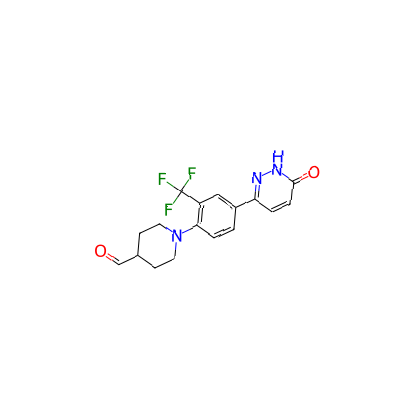 O=CC1CCN(c2ccc(-c3ccc(=O)[nH]n3)cc2C(F)(F)F)CC1